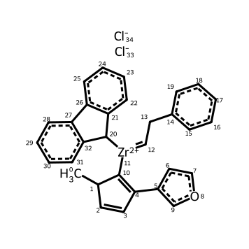 CC1C=CC(c2ccoc2)=[C]1/[Zr+2](=[CH]/Cc1ccccc1)[CH]1c2ccccc2-c2ccccc21.[Cl-].[Cl-]